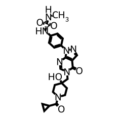 CNS(=O)(=O)Nc1ccc(-n2ncc3c(=O)n(CC4(O)CCN(C(=O)C5CC5)CC4)cnc32)cc1